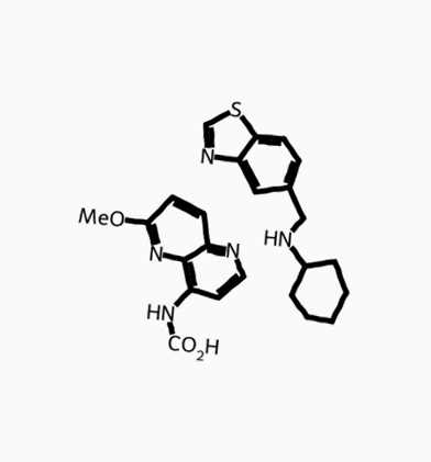 COc1ccc2nccc(NC(=O)O)c2n1.c1nc2cc(CNC3CCCCC3)ccc2s1